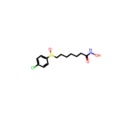 O=C(CCCCCC[S+]([O-])c1ccc(Cl)cc1)NO